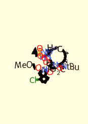 COCCOc1cc2c(Cl)cccc2c(O[C@@H]2C[C@H]3C(=O)N[C@]4(C(=O)NS(=O)(=O)C5(C)CC5)C[C@H]4/C=C\CC[C@@H](C)C[C@@H](C)[C@H](N(C(=O)O)C(C)(C)C)C(=O)N3C2)n1